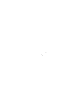 CCOCOC1CCC[SiH2]NCC1